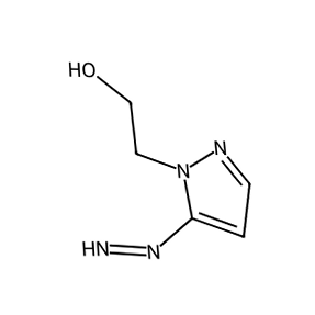 N=Nc1ccnn1CCO